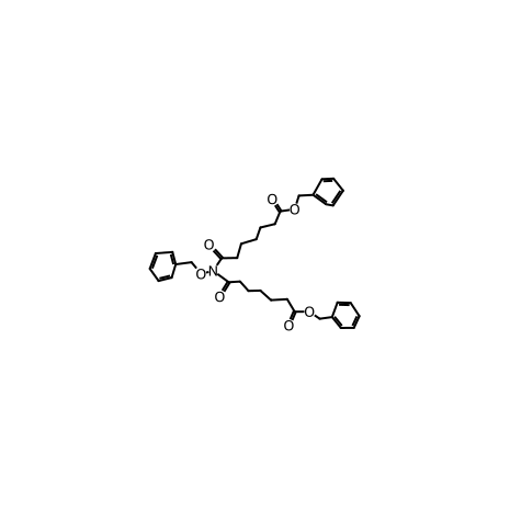 O=C(CCCCCC(=O)N(OCc1ccccc1)C(=O)CCCCCC(=O)OCc1ccccc1)OCc1ccccc1